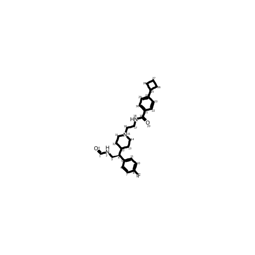 O=CNC[C@H](c1ccc(F)cc1)C1CCN(CCNC(=O)c2ccc(C3CCC3)cc2)CC1